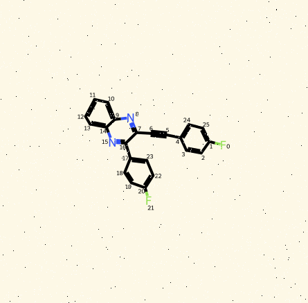 Fc1ccc(C#Cc2nc3ccccc3nc2-c2ccc(F)cc2)cc1